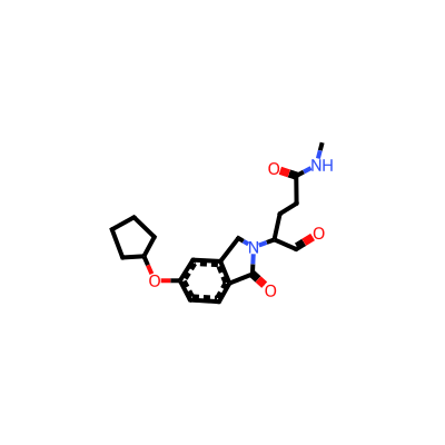 CNC(=O)CCC(C=O)N1Cc2cc(OC3CCCC3)ccc2C1=O